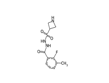 Cc1cccc(C(=O)NNS(=O)(=O)C2CNC2)c1F